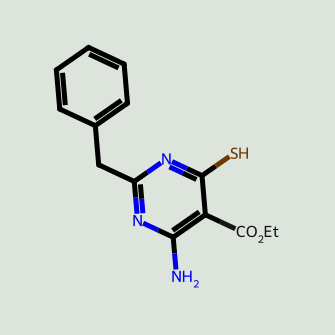 CCOC(=O)c1c(N)nc(Cc2ccccc2)nc1S